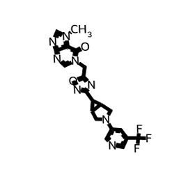 Cn1cnc2ncn(Cc3nc(C4C5CN(c6cncc(C(F)(F)F)c6)CC54)no3)c(=O)c21